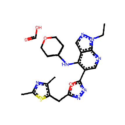 CCn1ncc2c(NC3CCOCC3)c(-c3nnc(Cc4sc(C)nc4C)o3)cnc21.O=CO